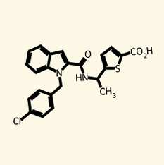 CC(NC(=O)c1cc2ccccc2n1Cc1ccc(Cl)cc1)c1ccc(C(=O)O)s1